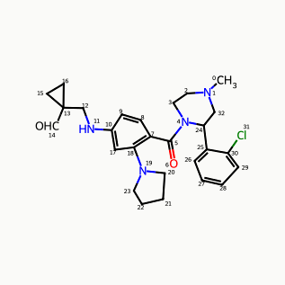 CN1CCN(C(=O)c2ccc(NCC3(C=O)CC3)cc2N2CCCC2)C(c2ccccc2Cl)C1